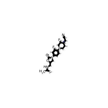 CC(=S)NCC1CN(c2ccc(N3CC/C(=C/C#N)C(F)C3)c(F)c2)C(=O)O1